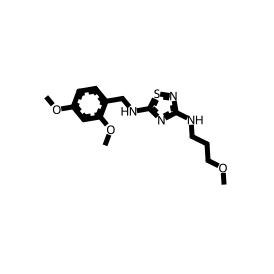 COCCCNc1nsc(NCc2ccc(OC)cc2OC)n1